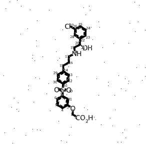 O=C(O)COc1cccc(S(=O)(=O)c2ccc(CCCNC[C@H](O)c3cccc(Cl)c3)cc2)c1